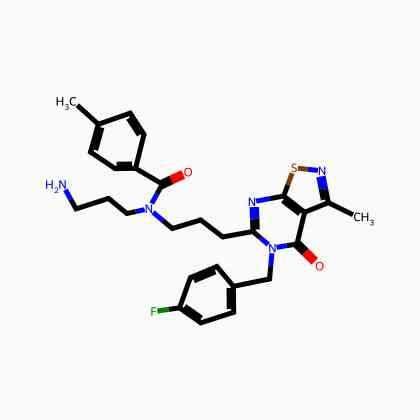 Cc1ccc(C(=O)N(CCCN)CCCc2nc3snc(C)c3c(=O)n2Cc2ccc(F)cc2)cc1